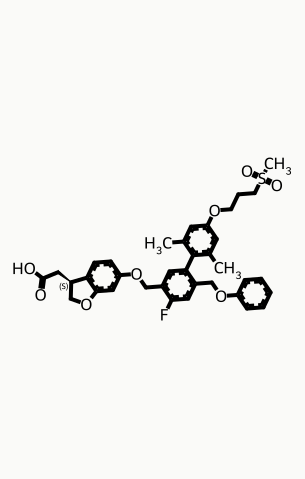 Cc1cc(OCCCS(C)(=O)=O)cc(C)c1-c1cc(COc2ccc3c(c2)OC[C@H]3CC(=O)O)c(F)cc1COc1ccccc1